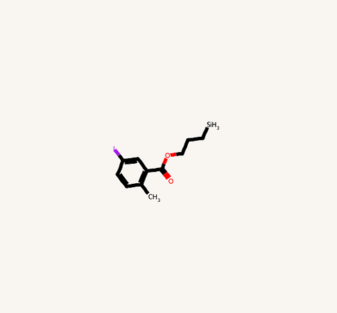 Cc1ccc(I)cc1C(=O)OCCC[SiH3]